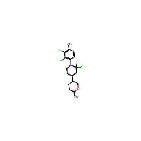 CCCc1ccc(C2CCC(C3CCC(CCC)OC3)CC2(F)F)c(F)c1F